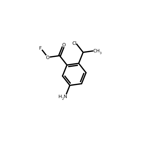 CC(Cl)c1ccc(N)cc1C(=O)OF